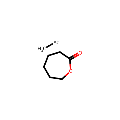 CC(C)=O.O=C1CCCCCO1